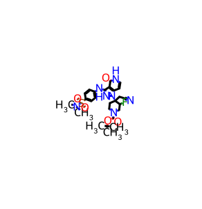 CN(C)S(=O)(=O)c1ccc(Nc2nn(C3(CC#N)CCN(C(=O)OC(C)(C)C)CC3F)c3cc[nH]c(=O)c23)cc1